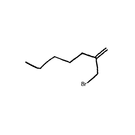 C=C(CBr)CCCCC